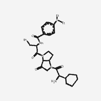 CCN(CC)c1ccc(C(=O)NC(CC(C)C)C(=O)N2CCC3C2C(=O)CN3C(=O)C(N)C2CCCCC2)cc1